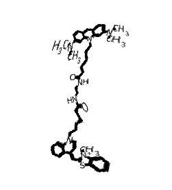 CN(C)c1ccc2cc3ccc(N(C)C)cc3[n+](CCCCCC(=O)NCCNC(=O)CCCCCN3C=CC(=Cc4sc5ccccc5[n+]4C)c4ccccc43)c2c1